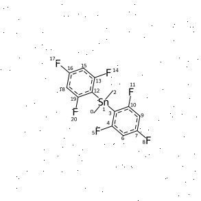 [CH3][Sn]([CH3])([c]1c(F)cc(F)cc1F)[c]1c(F)cc(F)cc1F